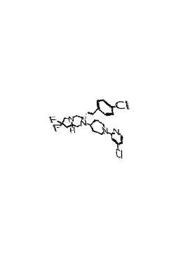 FC1(F)C[C@H]2CN(C3CCN(c4cc(Cl)ccn4)CC3)[C@@H](CCc3ccc(Cl)cc3)CN2C1